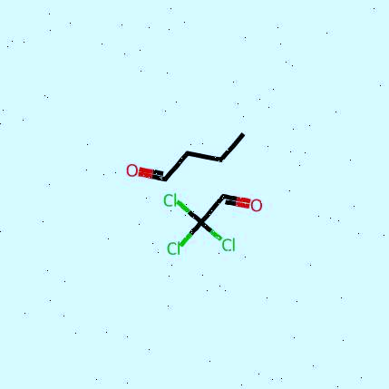 CCCC=O.O=CC(Cl)(Cl)Cl